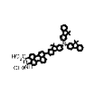 CC1(C)c2ccccc2-c2ccc(N(c3ccc4c(c3)C(C)(C)c3ccccc3-4)c3ccc4c(c3)C(C)(C)c3cc(-c5ccc6c7ccc(CC(=O)O)c8c(C(=O)NC=O)ccc(c9cccc5c69)c87)ccc3-4)cc21